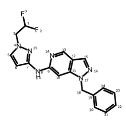 FC(F)Cn1ccc(Nc2cc3c(cn2)cnn3Cc2ccccc2)n1